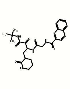 CC(C)(C)NC(=O)C(=O)C(CC1CCCNC1=O)NC(=O)CNC(=O)c1cnc2ccccc2n1